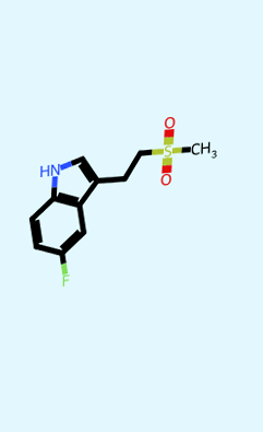 CS(=O)(=O)CCc1c[nH]c2ccc(F)cc12